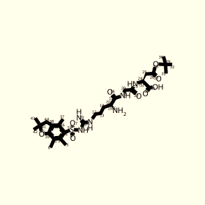 Cc1c(C)c(S(=O)(=O)NC(=N)NCCC[C@H](N)C(=O)NCC(=O)N[C@@H](CC(=O)OC(C)(C)C)C(=O)O)c(C)c2c1OC(C)(C)C2